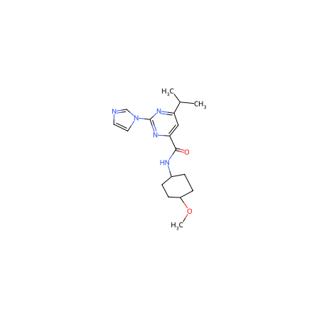 COC1CCC(NC(=O)c2cc(C(C)C)nc(-n3ccnc3)n2)CC1